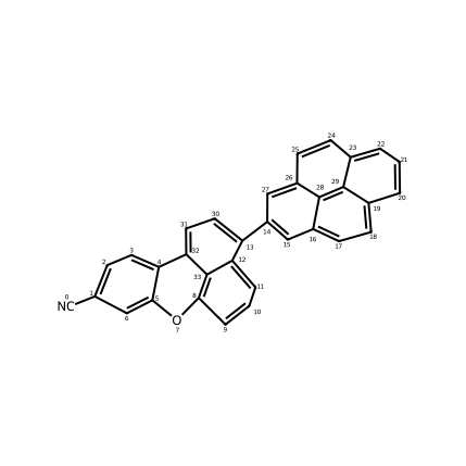 N#Cc1ccc2c(c1)Oc1cccc3c(-c4cc5ccc6cccc7ccc(c4)c5c67)ccc-2c13